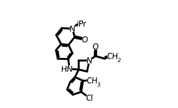 C=CC(=O)N1CC(Nc2ccc3ccn(C(C)C)c(=O)c3c2)(c2cccc(Cl)c2C)C1